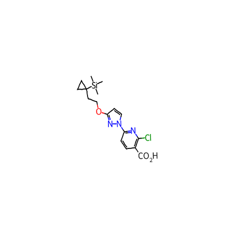 C[Si](C)(C)C1(CCOc2ccn(-c3ccc(C(=O)O)c(Cl)n3)n2)CC1